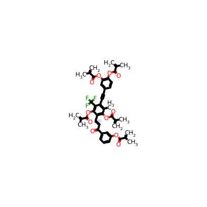 C=C(C)C(=O)Oc1cccc(C(=O)/C=C/c2c(OC(=O)C(=C)C)c(C)c(C#Cc3ccc(OC(=O)C(=C)C)c(OC(=O)C(=C)C)c3)c(C(F)(F)F)c2OC(=O)C(=C)C)c1